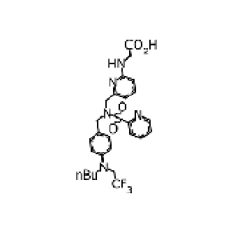 CCCCN(CC(F)(F)F)c1ccc(CN(Cc2cccc(NCC(=O)O)n2)S(=O)(=O)c2ccccn2)cc1